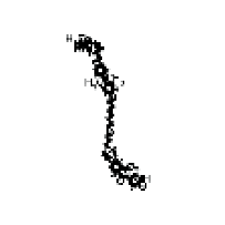 CC(C)(c1ccc(OCCCCCCCOCCCN2CCN(c3ccc4c(c3)C(=O)N(C3CCC(=O)NC3=O)C4=O)CC2)cc1)c1ccc(OCc2ccnc(NS(C)(=O)=O)n2)cc1